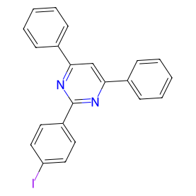 Ic1ccc(-c2nc(-c3ccccc3)cc(-c3ccccc3)n2)cc1